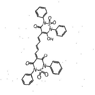 O=C1C(=C/C=C/C=C/C2=C(O)N(c3ccccc3)S(=O)(=O)N(c3ccccc3)C2=O)C(=O)N(c2ccccc2)S(=O)(=O)N1c1ccccc1